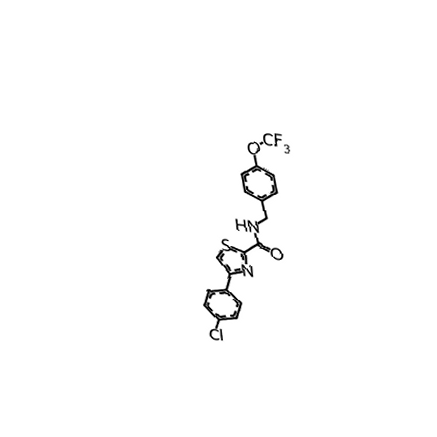 O=C(NCc1ccc(OC(F)(F)F)cc1)c1nc(-c2ccc(Cl)cc2)cs1